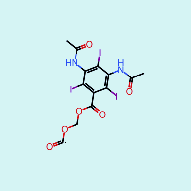 CC(=O)Nc1c(I)c(NC(C)=O)c(I)c(C(=O)OCO[C]=O)c1I